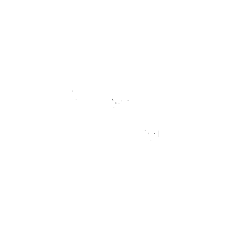 O=C(O)CCCI.[NaH]